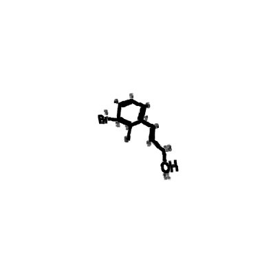 Cc1c(Br)cccc1/C=C/CO